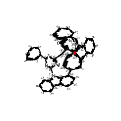 c1ccc(-c2nc(-c3ccccc3)nc(-n3c4ccccc4c4cccc(-c5ccc6c(c5)c5ccccc5n6-c5ccccc5)c43)n2)cc1